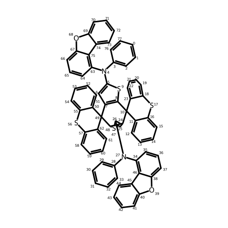 c1ccc(N(c2cc3c(s2)C2(c4ccccc4Sc4ccccc42)c2cc(N(c4ccccc4)c4cccc5oc6ccccc6c45)sc2C32c3ccccc3Sc3ccccc32)c2cccc3oc4ccccc4c23)cc1